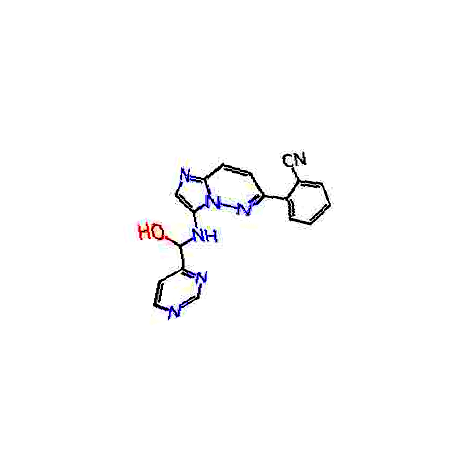 N#Cc1ccccc1-c1ccc2ncc(NC(O)c3ccncn3)n2n1